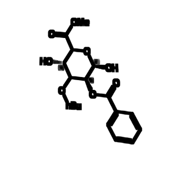 CCCCOC1[C@H](O)C(C(=O)OC)O[C@@H](O)[C@H]1OC(=O)c1ccccc1